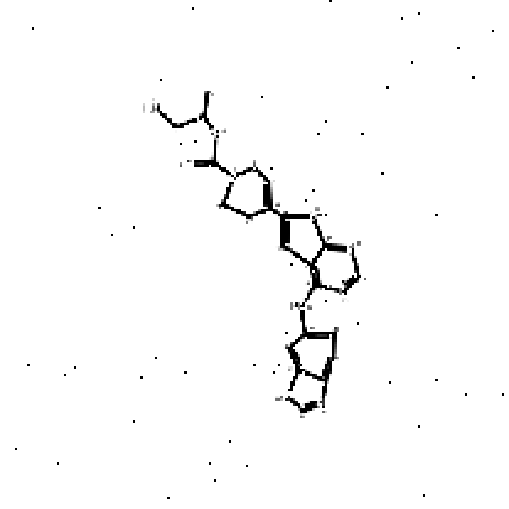 CC(CN)OC(=O)N1CC=C(c2cc3c(Nc4ccc5ncsc5c4)ncnc3[nH]2)CC1